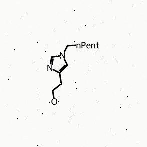 CCCCCCn1cnc(CC[O])c1